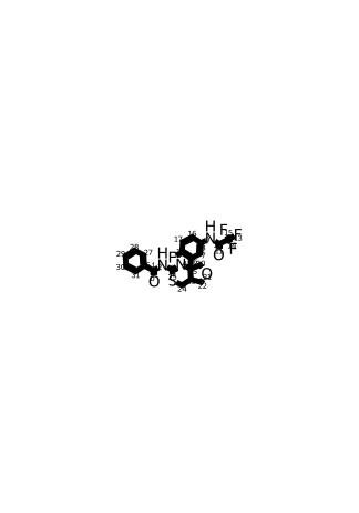 O=C(NC1=NC2(c3cc(NC(=O)C(F)(F)F)ccc3F)COCC2CS1)c1ccccc1